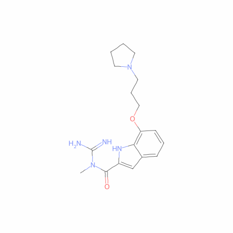 CN(C(=N)N)C(=O)c1cc2cccc(OCCCN3CCCC3)c2[nH]1